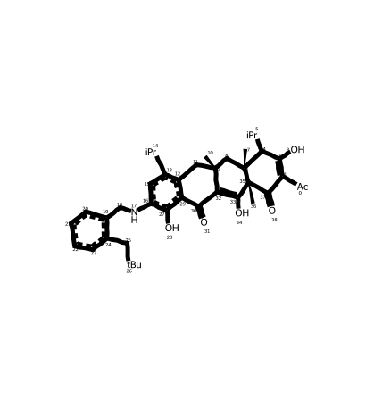 CC(=O)C1=C(O)C(C(C)C)[C@@]2(C)C[C@@]3(C)Cc4c(C(C)C)cc(NCc5ccccc5CC(C)(C)C)c(O)c4C(=O)C3=C(O)[C@@]2(C)C1=O